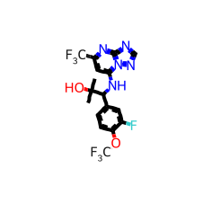 CC(C)(O)C(Nc1cc(C(F)(F)F)nc2ncnn12)c1ccc(OC(F)(F)F)c(F)c1